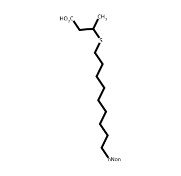 CCCCCCCCCCCCCCCCCCSC(C)CC(=O)O